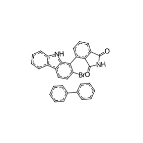 O=C1NC(=O)c2c1cccc2-c1c(Br)ccc2c1[nH]c1ccccc12.c1ccc(-c2ccccc2)cc1